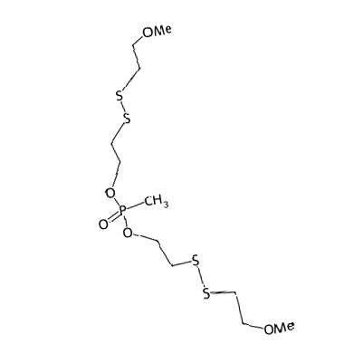 COCCSSCCOP(C)(=O)OCCSSCCOC